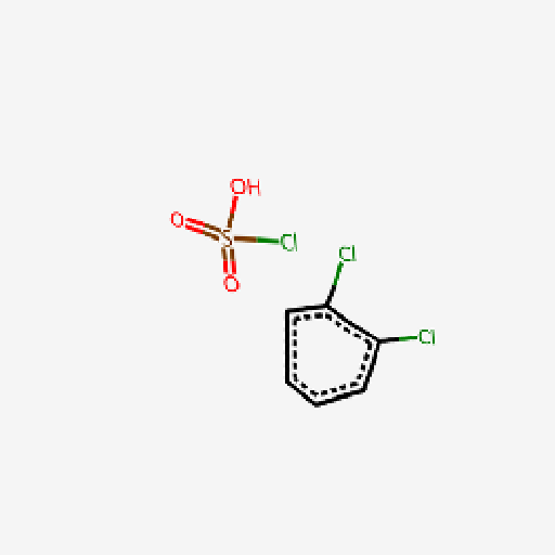 Clc1ccccc1Cl.O=S(=O)(O)Cl